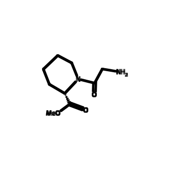 COC(=O)[C@@H]1CCCCN1C(=O)CN